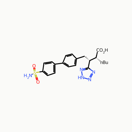 CCCC[C@@H](C(=O)O)[C@@H](Cc1ccc(-c2ccc(S(N)(=O)=O)cc2)cc1)c1nn[nH]n1